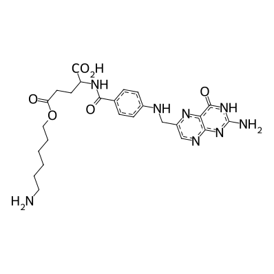 NCCCCCCOC(=O)CCC(NC(=O)c1ccc(NCc2cnc3nc(N)[nH]c(=O)c3n2)cc1)C(=O)O